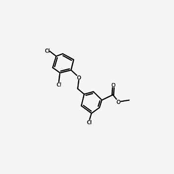 COC(=O)c1cc(Cl)cc(COc2ccc(Cl)cc2Cl)c1